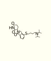 CC(C)N(CCCCSc1cccc2c1CN(C1CCC(=O)NC1=O)C2=O)C(C)C